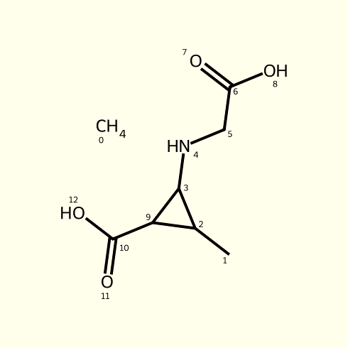 C.CC1C(NCC(=O)O)C1C(=O)O